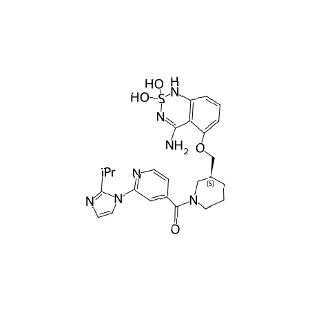 CC(C)c1nccn1-c1cc(C(=O)N2CCC[C@H](COc3cccc4c3C(N)=NS(O)(O)N4)C2)ccn1